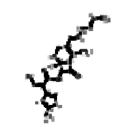 CC/C=C(\C(=O)NC1C(=O)N2C(C(=O)O)=C(C=NNC=NN)CS[C@@H]12)c1csc(N)n1